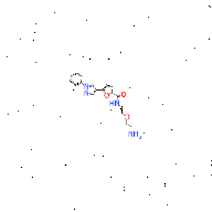 NCCOCCNC(=O)c1ccc(-c2cnn(-c3ccccc3)c2)o1